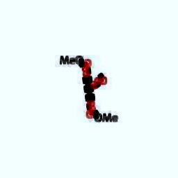 C=CC(=O)O/C=C\Oc1cc(-c2ccc(O/C=C\OC(=O)C(=C)COC)cc2)ccc1-c1ccc(O/C=C\OC(=O)C(=C)COC)cc1